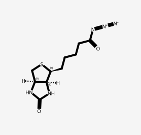 [N-]=[N+]=NC(=O)CCCC[C@@H]1SC[C@@H]2NC(=O)N[C@@H]21